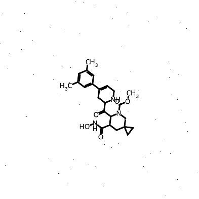 COC(=O)N1CC2(CC2)CC(C(=O)NO)C1C(=O)C1CC(c2cc(C)cc(C)c2)=CCN1